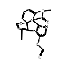 COC(=O)[N+]12C(C)=CC=CC13CC=CC(C)=C3n1c(SC=O)cnc12